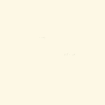 CCCCCCC1CCCCC1O